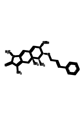 CO[C@@H]1C=C2C=C3C(=C(C)C(=O)N3C)C[C@]2(C)[C@@H](C)[C@H]1OC/C=C/c1ccccc1